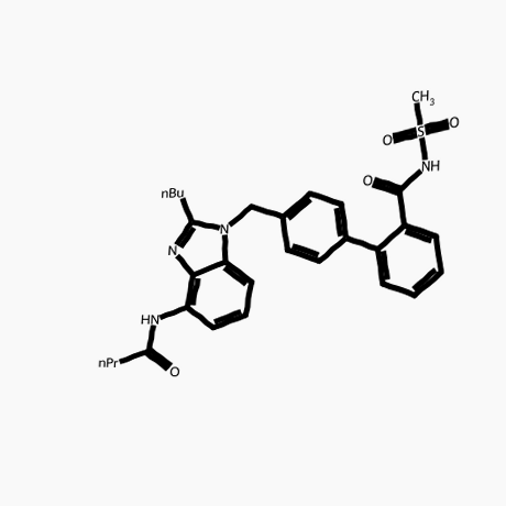 CCCCc1nc2c(NC(=O)CCC)cccc2n1Cc1ccc(-c2ccccc2C(=O)NS(C)(=O)=O)cc1